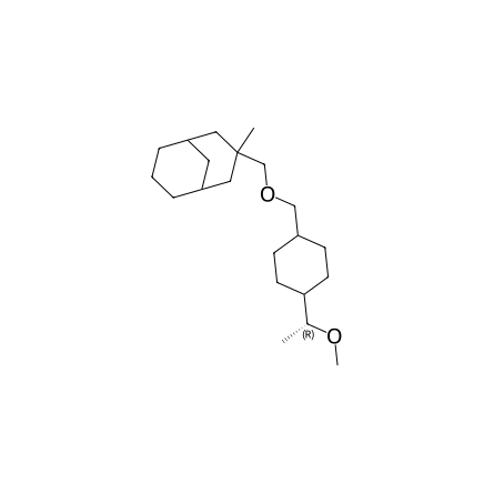 CO[C@H](C)C1CCC(COCC2(C)CC3CCCC(C3)C2)CC1